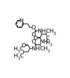 CC(C)CC(C=O)NC(=O)C(C)NC(=O)C(NC(=O)OCCc1ccccn1)C(C)C